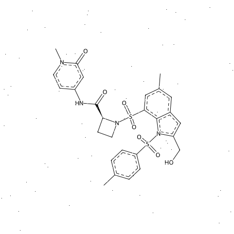 Cc1ccc(S(=O)(=O)n2c(CO)cc3cc(C)cc(S(=O)(=O)N4CC[C@H]4C(=O)Nc4ccn(C)c(=O)c4)c32)cc1